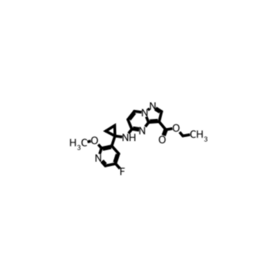 CCOC(=O)c1cnn2ccc(NC3(c4cc(F)cnc4OC)CC3)nc12